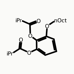 CCCCCCCCOc1cccc(OC(=O)C(C)C)c1OC(=O)C(C)C